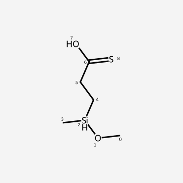 CO[SiH](C)CCC(O)=S